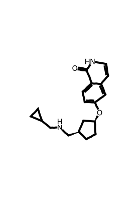 O=c1[nH]ccc2cc(O[C@H]3CC[C@@H](CNCC4CC4)C3)ccc12